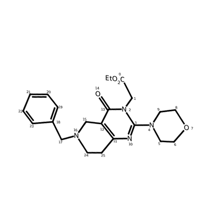 CCOC(=O)Cn1c(N2CCOCC2)nc2c(c1=O)CN(Cc1ccccc1)CC2